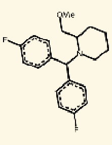 COCC1CCCCN1C(c1ccc(F)cc1)c1ccc(F)cc1